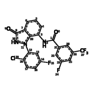 O=C(Nc1cccc2c(=O)[nH]n(-c3cc(F)ccc3Cl)c12)c1cc(F)cc(C(F)(F)F)c1